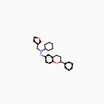 c1ccc(C2CCc3cc(ON(Cc4ccoc4)C4CCCCC4)ccc3O2)cc1